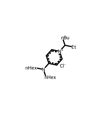 CCCCCCN(CCCCCC)c1cc[n+](C(CC)CCCC)cc1.[Cl-]